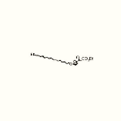 CCC=CCC=CCC=CCCCCCCCCOc1ccc(C(=O)CC(=O)OCC)o1